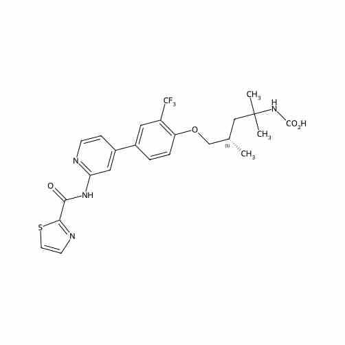 C[C@H](COc1ccc(-c2ccnc(NC(=O)c3nccs3)c2)cc1C(F)(F)F)CC(C)(C)NC(=O)O